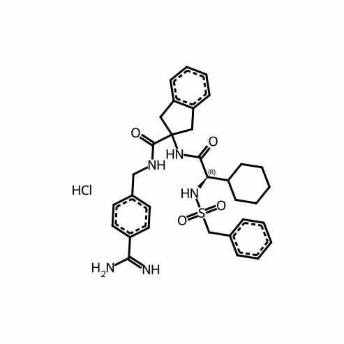 Cl.N=C(N)c1ccc(CNC(=O)C2(NC(=O)[C@H](NS(=O)(=O)Cc3ccccc3)C3CCCCC3)Cc3ccccc3C2)cc1